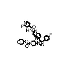 O=C(Nc1cn2nc(-c3c(-c4ccc(F)cc4)ncn3C3CCN(C(=O)OC4CCOCC4)CC3)ccc2n1)c1ccnc(F)c1